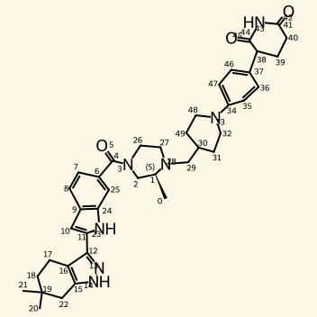 C[C@H]1CN(C(=O)c2ccc3cc(-c4n[nH]c5c4CCC(C)(C)C5)[nH]c3c2)CCN1CC1CCN(c2ccc(C3CCC(=O)NC3=O)cc2)CC1